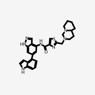 O=C(Nc1cc(-c2cccc3[nH]ccc23)cc2[nH]ncc12)c1csc(CN2CCC3CCCCN3C2)n1